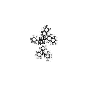 c1ccc(-c2nc(-c3ccc4c(c3)c3ccccc3n4-c3ccccc3)nc(-n3c4cc5ccccc5cc4c4c5ccccc5ccc43)n2)cc1